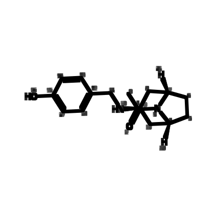 CC(=O)N1[C@@H]2CC[C@H]1C[C@H](NCc1ccc(O)cc1)C2